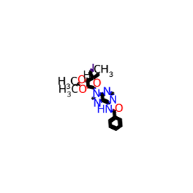 CCC1(CI)OC(n2cnc3c(NC(=O)c4ccccc4)ncnc32)C2OC(C)(C)O[C@H]21